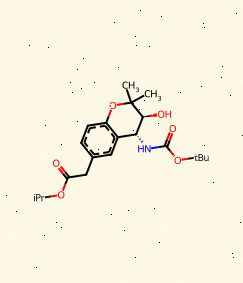 CC(C)OC(=O)Cc1ccc2c(c1)[C@@H](NC(=O)OC(C)(C)C)[C@H](O)C(C)(C)O2